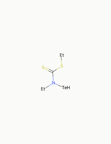 CCSC(=S)N([TeH])CC